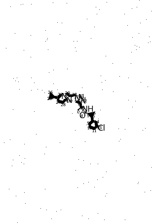 C[C@H](NC(=O)[C@@H]1CC1c1cccc(Cl)c1)c1cn(Cc2cn3cc(C4CC4)ccc3n2)nn1